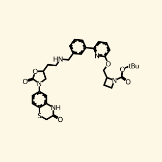 CC(C)(C)OC(=O)N1CCC1COc1cccc(-c2cccc(CNCCC3CN(c4ccc5c(c4)NC(=O)CS5)C(=O)O3)c2)n1